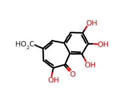 O=C(O)c1cc(O)c(=O)c2c(O)c(O)c(O)cc2c1